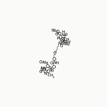 COc1cccc(Nc2c(C(N)=O)cnc3c(C)cc(S(=O)(=O)c4cccc(C(=O)Nc5ccc(CCOCCCCCCN(C[C@H](O[Si](C)(C)C(C)(C)C)c6ccc(OC(=O)OC(C)(C)C)c7[nH]c(=O)ccc67)C(=O)OC(C)(C)C)cc5)c4)cc23)c1